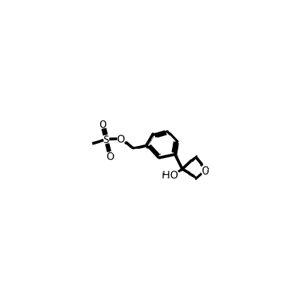 CS(=O)(=O)OCc1cccc(C2(O)COC2)c1